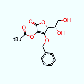 CC(C)(C)C(=O)OC1=C(OCc2ccccc2)[C@@H]([C@@H](O)CO)OC1=O